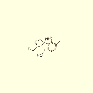 Cc1cccc([C@]2(N)CO[C@H](CF)[C@H]2CO)c1F